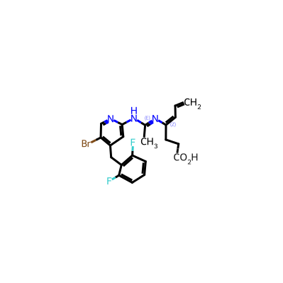 C=C/C=C(CCC(=O)O)\N=C(/C)Nc1cc(Cc2c(F)cccc2F)c(Br)cn1